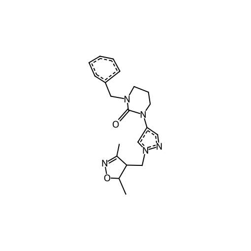 CC1=NOC(C)C1Cn1cc(N2CCCN(Cc3ccccc3)C2=O)cn1